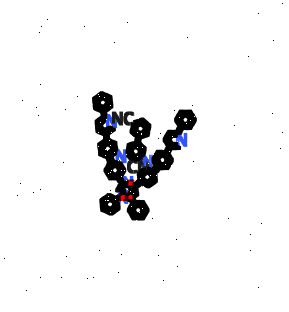 N#Cc1cccc(-c2cc(-n3c4cc(-c5ccc(-c6ccccc6)nc5)ccc4c4ccc(-c5ccc(-c6ccccc6)nc5)cc43)c(C#N)c(-n3c4cc(-c5ccc(-c6ccccc6)nc5)ccc4c4ccc(-c5ccc(-c6ccccc6)cn5)cc43)c2)c1